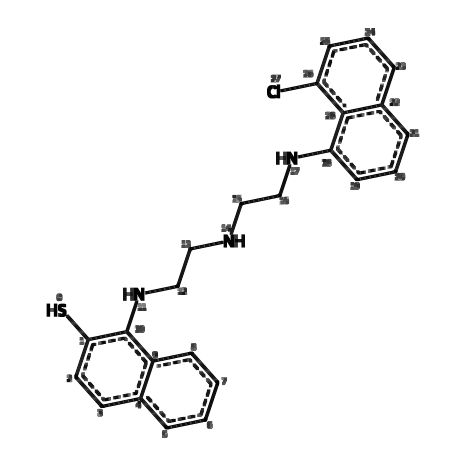 Sc1ccc2ccccc2c1NCCNCCNc1cccc2cccc(Cl)c12